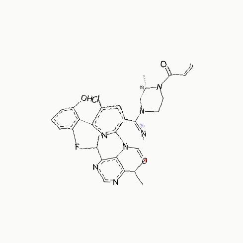 C=CC(=O)N1CCN(/C(=N/C)c2cc(Cl)c(-c3c(O)cccc3F)nc2N(C=O)c2c(C(C)C)ncnc2C(C)C)C[C@@H]1C